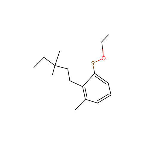 CCOSc1cccc(C)c1CCC(C)(C)CC